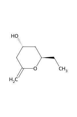 C=C1C[C@H](O)C[C@@H](CC)O1